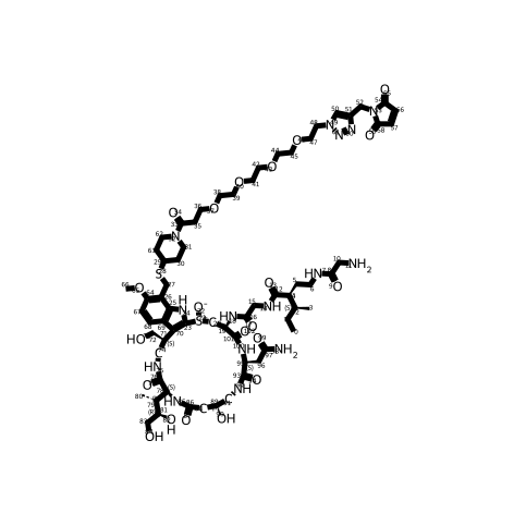 CC[C@H](C)[C@H](CCNC(=O)CN)C(=O)NCC(=O)N[C@@H]1C[S+]([O-])c2[nH]c3c(CSC4CCN(C(=O)CCOCCOCCOCCOCCn5cc(CN6C(=O)C=CC6=O)nn5)CC4)c(OC)ccc3c2[C@H](CO)CNC(=O)[C@H]([C@@H](C)[C@@H](O)CO)NC(=O)C[C@@H](O)CNC(=O)[C@H](CC(N)=O)NC1=O